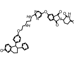 O=C1CCC(N2C(=O)c3ccc(Oc4cnc(NCCNCCOc5ccc(C6c7ccc(O)cc7CCC6c6ccccc6)cc5)nc4)cc3C2=O)C(=O)N1